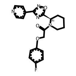 O=C(COc1ccc(F)cc1)N1CCCC[C@@H]1c1nc(-c2ccncc2)no1